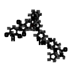 CN(C)C(=O)c1cc2cnc(Nc3ccc(N4CCC(CN5C6CC5CN(c5cc7c(cc5F)C(=O)N(C5CCC(=O)NC5=O)C7=O)C6)CC4)cn3)nc2n1C1CCCC1